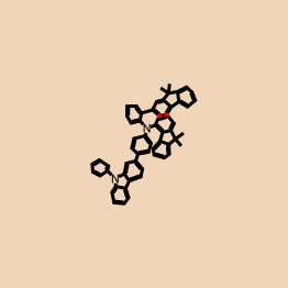 CC1(C)c2ccccc2-c2ccc(-c3ccccc3N(c3ccc(-c4ccc5c6ccccc6n(-c6ccccc6)c5c4)cc3)c3cccc4c3-c3ccccc3C4(C)C)cc21